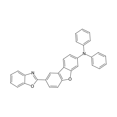 c1ccc(N(c2ccccc2)c2ccc3c(c2)oc2ccc(-c4nc5ccccc5o4)cc23)cc1